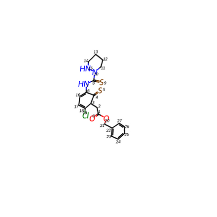 O=C(CC1C(=S)C(NC(=S)N2CCCCN2)=CC=C1Cl)OCc1ccccc1